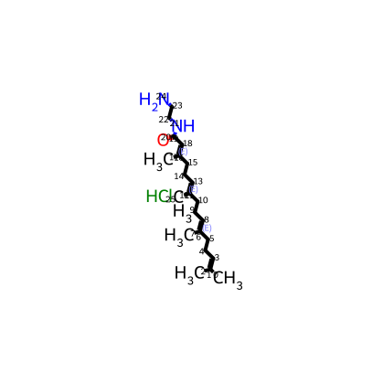 CC(C)=CCC/C(C)=C/CC/C(C)=C/CC/C(C)=C/C(=O)NCCN.Cl